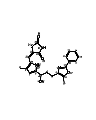 Cc1cc(C(O)CCc2nc(-c3ccccc3)oc2C)[nH]c1C=C1SC(=O)NC1=O